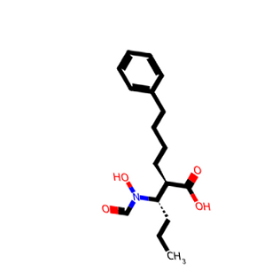 CCC[C@@H]([C@@H](CCCCc1ccccc1)C(=O)O)N(O)C=O